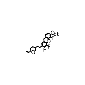 C=CC1CCC(CCc2cc3c(c(F)c2F)Oc2c(ccc(OCC)c2F)C3)CO1